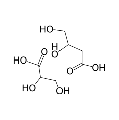 O=C(O)C(O)CO.O=C(O)CC(O)CO